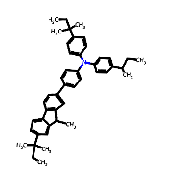 CCC(C)c1ccc(N(c2ccc(-c3ccc4c(c3)C(C)c3cc(C(C)(C)CC)ccc3-4)cc2)c2ccc(C(C)(C)CC)cc2)cc1